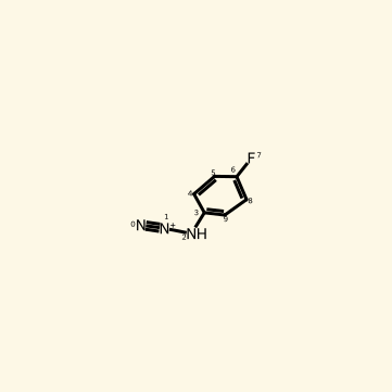 N#[N+]Nc1ccc(F)cc1